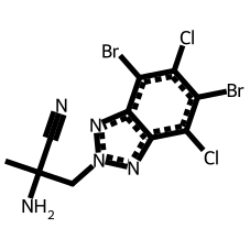 CC(N)(C#N)Cn1nc2c(Cl)c(Br)c(Cl)c(Br)c2n1